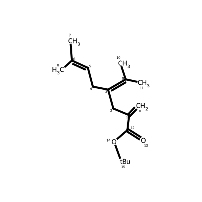 C=C(CC(CC=C(C)C)=C(C)C)C(=O)OC(C)(C)C